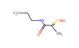 CC(=S=O)C(=O)NCCC(F)(F)F